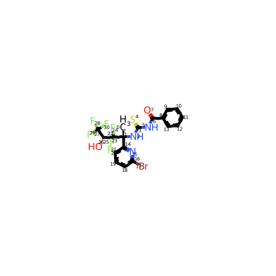 C[C@@](NC(=S)NC(=O)c1ccccc1)(c1nc(Br)ccc1F)C(F)(F)[C@H](O)C(F)(F)F